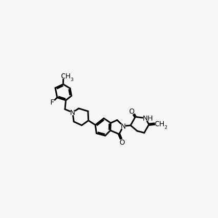 C=C1CCC(N2Cc3cc(C4CCN(Cc5ccc(C)cc5F)CC4)ccc3C2=O)C(=O)N1